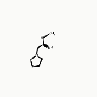 CNC(=N)CN1CCCC1